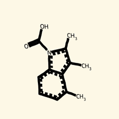 Cc1cccc2c1c(C)c(C)n2C(=O)O